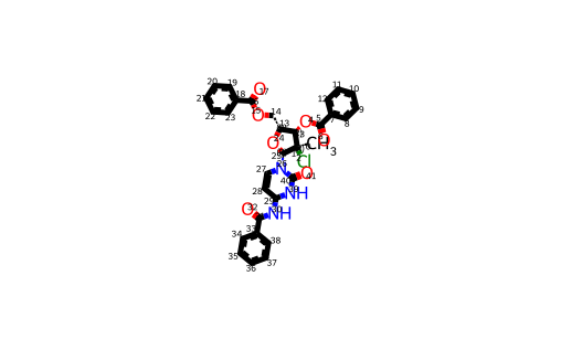 C[C@@]1(Cl)[C@H](OC(=O)c2ccccc2)[C@@H](COC(=O)c2ccccc2)O[C@H]1N1C=CC(NC(=O)c2ccccc2)NC1=O